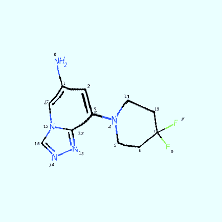 Nc1cc(N2CCC(F)(F)CC2)c2nncn2c1